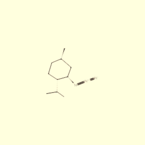 CC(C)[C@@H]1CC[C@@H](C)C[C@H]1N=[N+]=[N-]